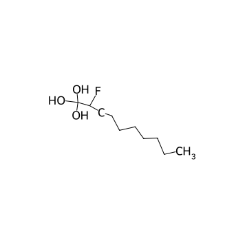 CCCCCCCCC(F)C(O)(O)O